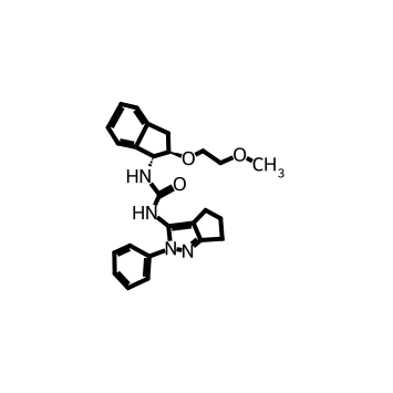 COCCO[C@@H]1Cc2ccccc2[C@H]1NC(=O)Nc1c2c(nn1-c1ccccc1)CCC2